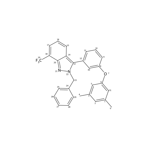 Cc1cc(C)cc(Oc2cccc(-c3c4cccc(C(F)(F)F)c4nn3Cc3ccccc3)c2)c1